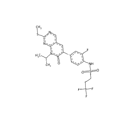 CSc1ncc2cc(-c3ccc(NS(=O)(=O)CCC(F)(F)F)c(F)c3)c(=O)n(C(C)C)c2n1